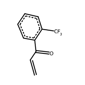 C=CC(=O)c1ccccc1C(F)(F)F